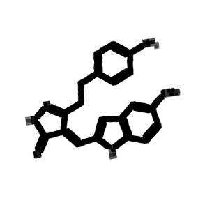 COc1ccc2[nH]c(C=C3C(=O)NN=C3CCc3ccc(N)cc3)cc2c1